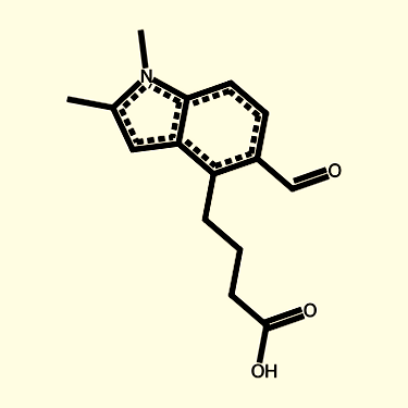 Cc1cc2c(CCCC(=O)O)c(C=O)ccc2n1C